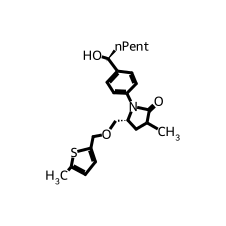 CCCCC[C@H](O)c1ccc(N2C(=O)C(C)C[C@@H]2COCc2ccc(C)s2)cc1